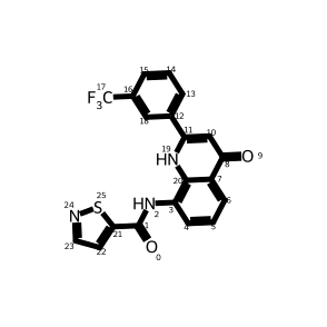 O=C(Nc1cccc2c(=O)cc(-c3cccc(C(F)(F)F)c3)[nH]c12)c1ccns1